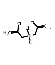 C=C(Cl)C[Te](Cl)(Cl)CC(=C)Cl